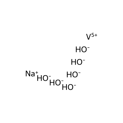 [Na+].[OH-].[OH-].[OH-].[OH-].[OH-].[OH-].[V+5]